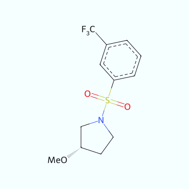 CO[C@H]1CCN(S(=O)(=O)c2cccc(C(F)(F)F)c2)C1